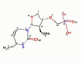 C=C1C=CN([C@@H]2OC[C@H](OCP(=O)(O)O)[C@H]2OC)C(=O)N1